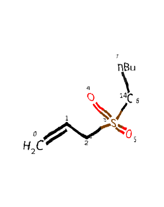 C=C[CH]S(=O)(=O)[14CH2]CCCC